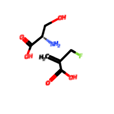 C=C(CF)C(=O)O.N[C@@H](CO)C(=O)O